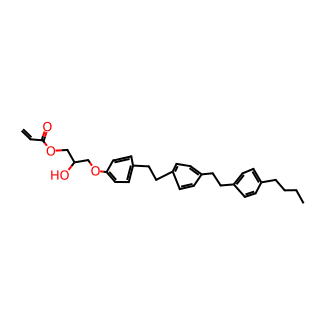 C=CC(=O)OCC(O)COc1ccc(CCc2ccc(CCc3ccc(CCCC)cc3)cc2)cc1